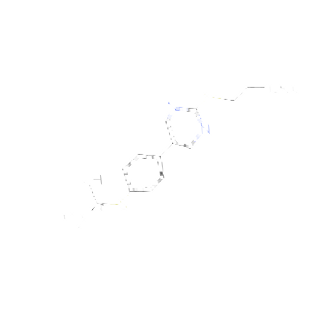 CCCCCCCCCCCCSc1ncc(-c2ccc(S[C@H](C)C(=O)OCC)cc2)cn1